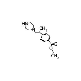 CCOC(=O)c1ccc(C(C)CN2CCNCC2)cc1